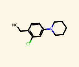 N#CCc1ccc(N2CCCCC2)cc1Cl